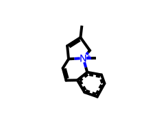 CC1=CC2C=Cc3ccccc3[N+]2(C)C1